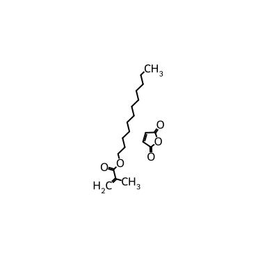 C=C(C)C(=O)OCCCCCCCCCCCC.O=C1C=CC(=O)O1